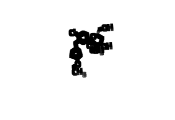 CCOc1ccc(Cc2cc([C@]3(OC)O[C@H](CO)C[C@H](O)C3O)ccc2Cl)cc1